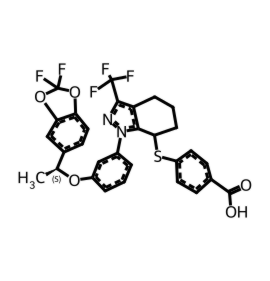 C[C@H](Oc1cccc(-n2nc(C(F)(F)F)c3c2C(Sc2ccc(C(=O)O)cc2)CCC3)c1)c1ccc2c(c1)OC(F)(F)O2